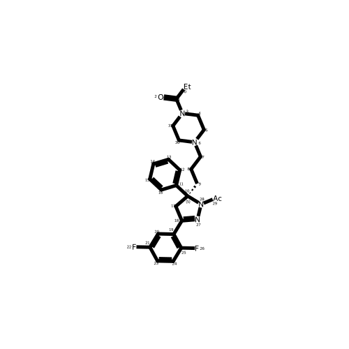 CCC(=O)N1CCN(CCC[C@@]2(c3ccccc3)CC(c3cc(F)ccc3F)=NN2C(C)=O)CC1